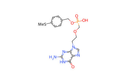 CSc1ccc(COP(=O)(O)COCCn2cnc3c(=O)[nH]c(N)nc32)cc1